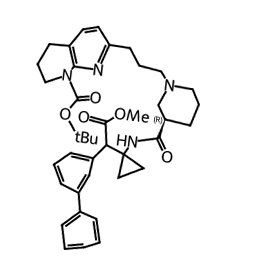 COC(=O)C(c1cccc(-c2ccccc2)c1)C1(NC(=O)[C@@H]2CCCN(CCCc3ccc4c(n3)N(C(=O)OC(C)(C)C)CCC4)C2)CC1